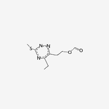 CCc1nc(SC)nnc1CCOC=O